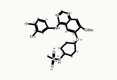 COc1cc2ncnc(Nc3ccc(F)c(Cl)c3)c2cc1OC1CCC(NS(C)(=O)=O)CC1